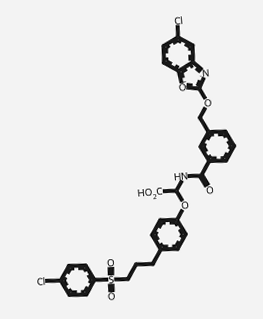 O=C(NC(Oc1ccc(CCCS(=O)(=O)c2ccc(Cl)cc2)cc1)C(=O)O)c1cccc(COc2nc3cc(Cl)ccc3o2)c1